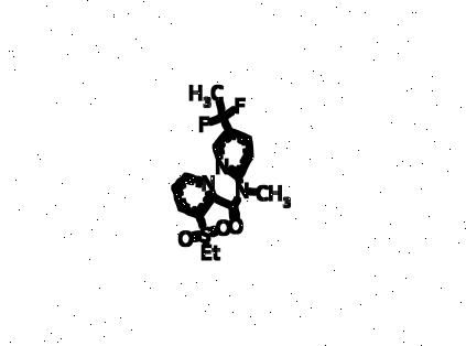 CCS(=O)(=O)c1cccnc1C(=O)N(C)c1ccc(C(C)(F)F)cn1